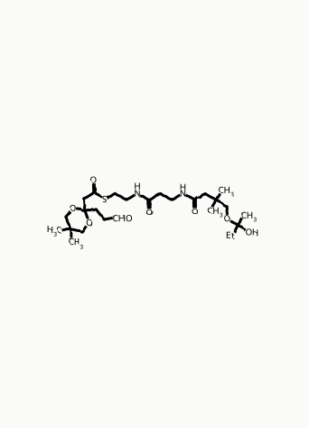 CCC(C)(O)OCC(C)(C)CC(=O)NCCC(=O)NCCSC(=O)CC1(CCC=O)OCC(C)(C)CO1